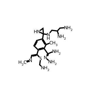 C=N/C=C(\SCN)c1ccc(C2(NCC(N)CN)CN2)c(C)c1/C(N)=N/N